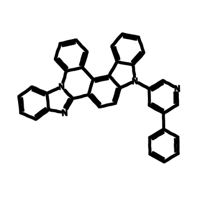 c1ccc(-c2cncc(-n3c4ccccc4c4c5c6ccccc6n6c7ccccc7nc6c5ccc43)c2)cc1